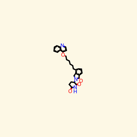 O=C1CCC(N2Cc3c(CCCCCCOc4ccnc5ccccc45)cccc3C2=O)C(=O)N1